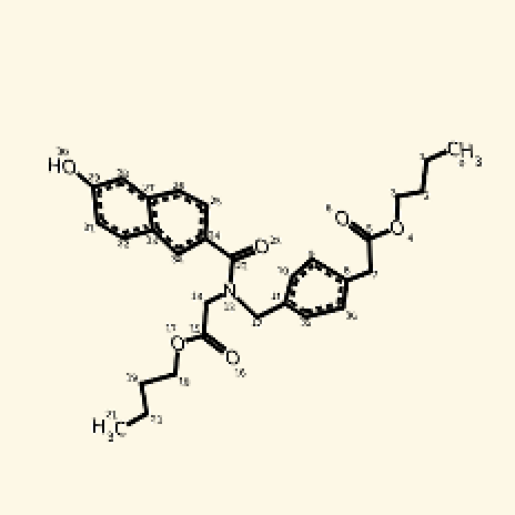 CCCCOC(=O)Cc1ccc(CN(CC(=O)OCCCC)C(=O)c2ccc3cc(O)ccc3c2)cc1